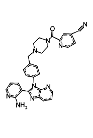 N#Cc1ccnc(C(=O)N2CCN(Cc3ccc(-n4c(-c5cccnc5N)nc5cccnc54)cc3)CC2)c1